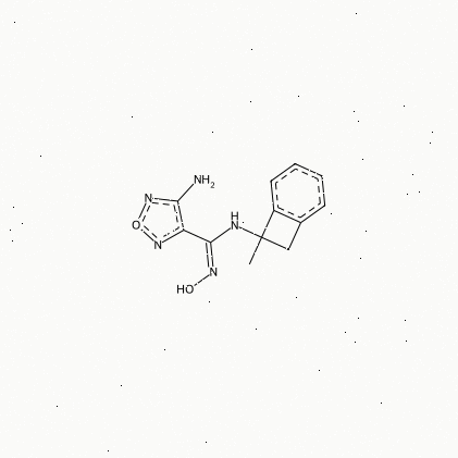 CC1(NC(=NO)c2nonc2N)Cc2ccccc21